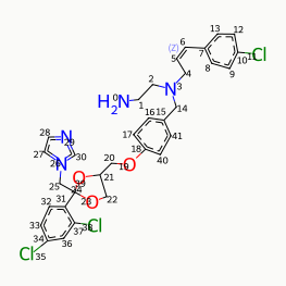 NCCN(C/C=C\c1ccc(Cl)cc1)Cc1ccc(OCC2COC(Cn3ccnc3)(c3ccc(Cl)cc3Cl)O2)cc1